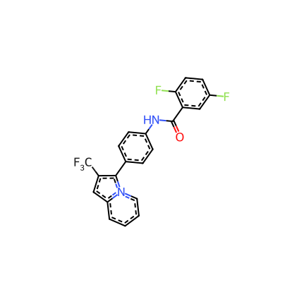 O=C(Nc1ccc(-c2c(C(F)(F)F)cc3ccccn23)cc1)c1cc(F)ccc1F